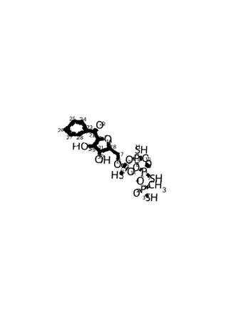 CP(=O)(S)OP(=O)(S)OP(=O)(S)OP(=O)(S)OCC1OC(C(=O)c2ccccc2)C(O)C1O